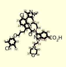 Cc1cc(OCCCc2c3n(c4c(-c5c(C)nn(C)c5C)c(Cl)ccc24)CCCN(c2nn(CCN4CCOCC4)c4cc(C(=O)O)ccc24)C3=O)cc(C)c1Cl